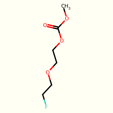 COC(=O)OCCOCCF